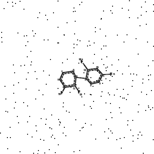 Fc1ccc(-c2[c]ccc(F)c2F)c(F)c1